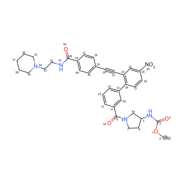 CC(C)(C)OC(=O)NC1CCN(C(=O)c2cccc(-c3ccc([N+](=O)[O-])cc3C#Cc3ccc(C(=O)NCCN4CCCCC4)cc3)c2)C1